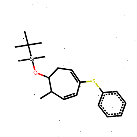 CC1C=CC(Sc2ccccc2)=CCC1O[Si](C)(C)C(C)(C)C